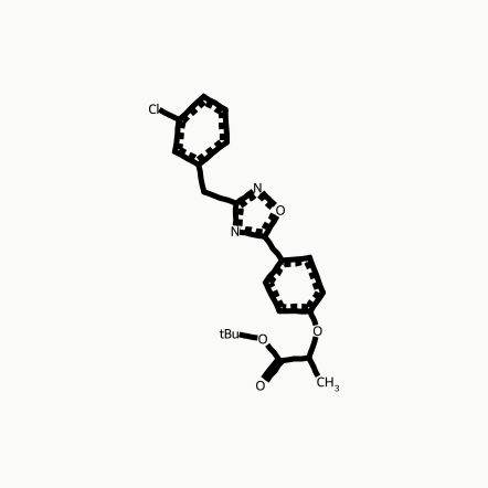 CC(Oc1ccc(-c2nc(Cc3cccc(Cl)c3)no2)cc1)C(=O)OC(C)(C)C